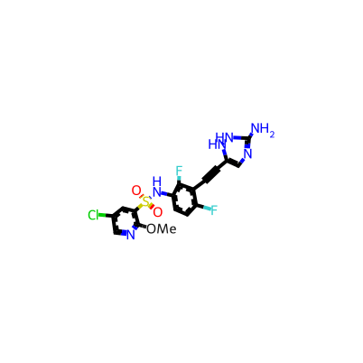 COc1ncc(Cl)cc1S(=O)(=O)Nc1ccc(F)c(C#CC2=CN=C(N)NN2)c1F